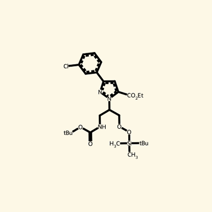 CCOC(=O)c1cc(-c2cccc(Cl)c2)nn1C(CNC(=O)OC(C)(C)C)COO[Si](C)(C)C(C)(C)C